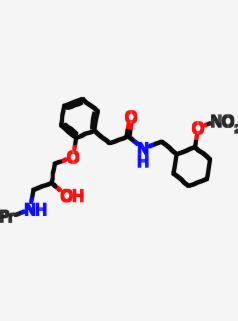 CC(C)NCC(O)COc1ccccc1CC(=O)NCC1CCCCC1O[N+](=O)[O-]